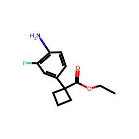 CCOC(=O)C1(c2ccc(N)c(F)c2)CCC1